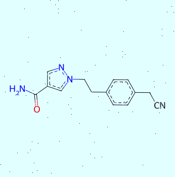 N#CCc1ccc(CCn2cc(C(N)=O)cn2)cc1